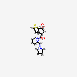 O=C1CC(C(=O)N2CCCCC2CN2CCCC2)c2ccsc21